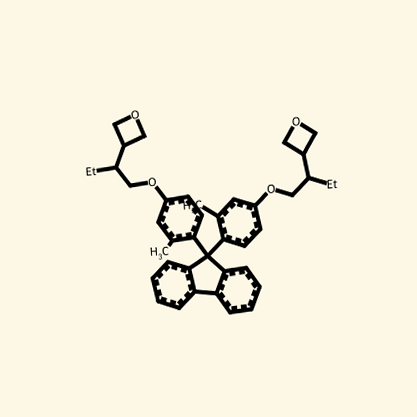 CCC(COc1ccc(C2(c3ccc(OCC(CC)C4COC4)cc3C)c3ccccc3-c3ccccc32)c(C)c1)C1COC1